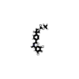 C/C(=C/C(=O)c1ccc(C2(F)CN(C(=O)OC(C)(C)C)C2)cc1)c1cc(Cl)c(F)c(Cl)c1